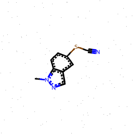 Cn1ncc2cc(SC#N)ccc21